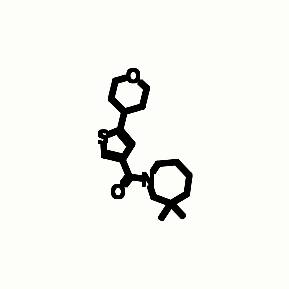 CC1(C)CCCCN(C(=O)c2csc(C3CCOCC3)c2)C1